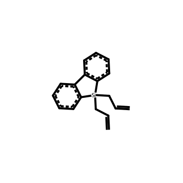 C=CC[Si]1(CC=C)c2ccccc2-c2ccccc21